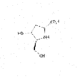 O=C(O)[C@H]1C[C@@H](O)[C@H](CO)N1